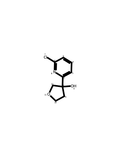 OC1(c2cccc(Cl)n2)CCOC1